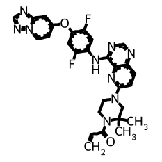 C=CC(=O)N1CCN(c2ccc3ncnc(Nc4cc(F)c(Oc5ccn6ncnc6c5)cc4F)c3n2)CC1(C)C